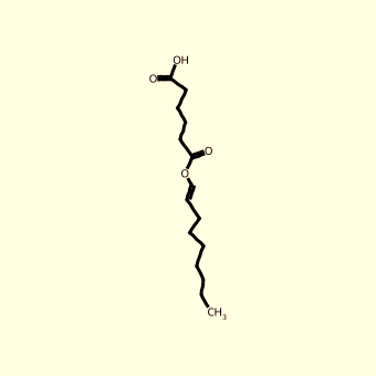 CCCCCCCC=COC(=O)CCCCC(=O)O